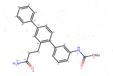 COC(=O)Nc1cccc(-c2ccc(-c3ccccc3)cc2CCC(N)=O)c1